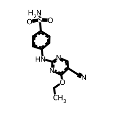 CCOc1nc(Nc2ccc(S(N)(=O)=O)cc2)ncc1C#N